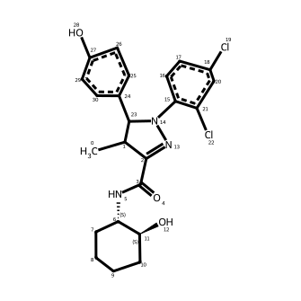 CC1C(C(=O)N[C@H]2CCCC[C@@H]2O)=NN(c2ccc(Cl)cc2Cl)C1c1ccc(O)cc1